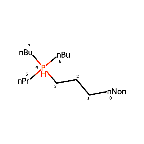 CCCCCCCCCCCC[PH](CCC)(CCCC)CCCC